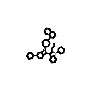 CCCc1c(C2c3ccc(-c4ccccc4)cc3N2C2C=CC=C(c3cccc4ccccc34)CC2)c2ccccc2n1C1=CCCCC1